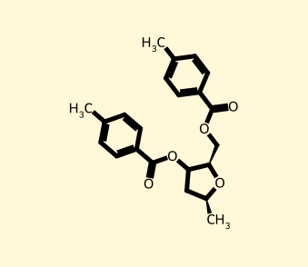 Cc1ccc(C(=O)OC[C@H]2O[C@@H](C)CC2OC(=O)c2ccc(C)cc2)cc1